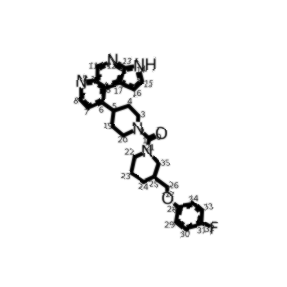 O=C(N1CCC(c2ccnc3cnc4[nH]ccc4c23)CC1)N1CCCC(COc2ccc(F)cc2)C1